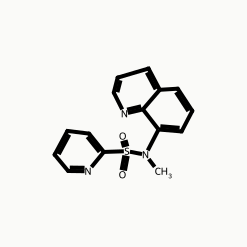 CN(c1cccc2cccnc12)S(=O)(=O)c1ccccn1